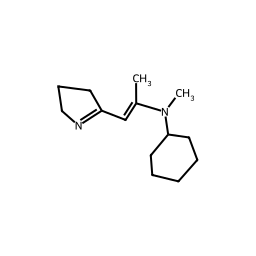 CC(=CC1=NCCC1)N(C)C1CCCCC1